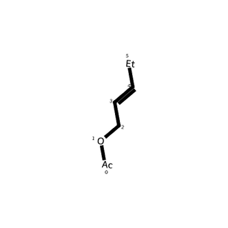 [CH2]C(=O)OC/C=C/CC